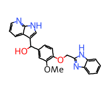 COc1cc(C(O)c2c[nH]c3ncccc23)ccc1OCc1nc2ccccc2[nH]1